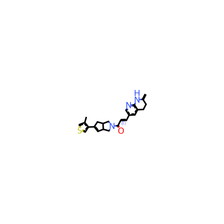 C=C1CCc2cc(/C=C/C(=O)N3CC4C=C(c5cscc5C)CC4C3)cnc2N1